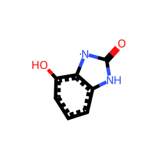 O=C1[N]c2c(O)cccc2N1